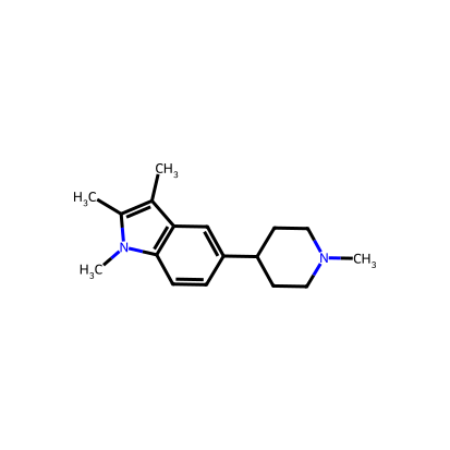 Cc1c(C)n(C)c2ccc(C3CCN(C)CC3)cc12